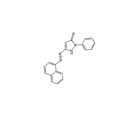 O=c1cc(/N=N/c2cccc3ccccc23)[nH]n1-c1ccccc1